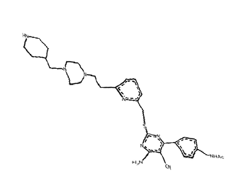 CC(=O)Nc1ccc(-c2nc(SCc3cccc(CCN4CCN(CC5CCNCC5)CC4)n3)nc(N)c2C#N)cc1